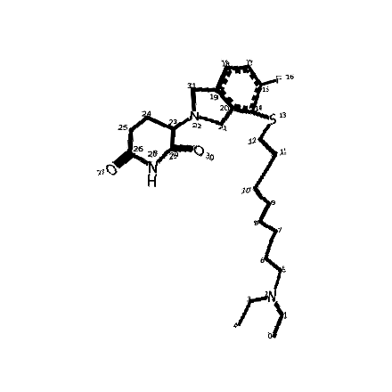 CCN(CC)CCCCCCCCSc1c(F)ccc2c1CN(C1CCC(=O)NC1=O)C2